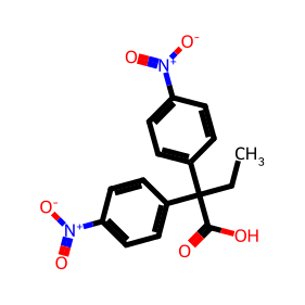 CCC(C(=O)O)(c1ccc([N+](=O)[O-])cc1)c1ccc([N+](=O)[O-])cc1